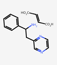 NC(Cc1cnccn1)c1ccccc1.O=C(O)C=CC(=O)O